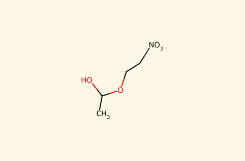 CC(O)OCC[N+](=O)[O-]